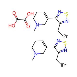 CC(C)Cc1nsnc1C1=CCCN(C)C1.CC(C)Cc1nsnc1C1=CCCN(C)C1.O=C(O)C(=O)O